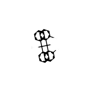 OC(c1ccccc1)(c1ccccc1)C(O)(c1ccccc1Br)c1ccccc1Br